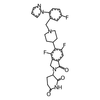 O=C1CCC(N2Cc3c(cc(F)c(C4CCN(Cc5cc(F)ccc5-n5cccn5)CC4)c3F)C2=O)C(=O)N1